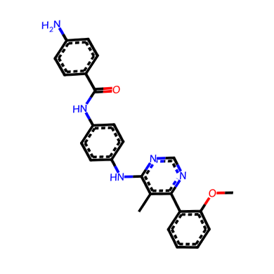 COc1ccccc1-c1ncnc(Nc2ccc(NC(=O)c3ccc(N)cc3)cc2)c1C